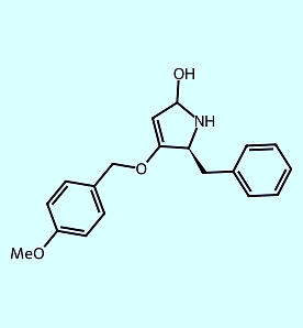 COc1ccc(COC2=CC(O)N[C@H]2Cc2ccccc2)cc1